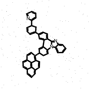 C1=CC(c2ccccn2)CC(c2ccc3c(c2)c2c(n4c5ccccc5nc34)=CCC(c3ccc4ccc5cccc6ccc3c4c56)C=2)=C1